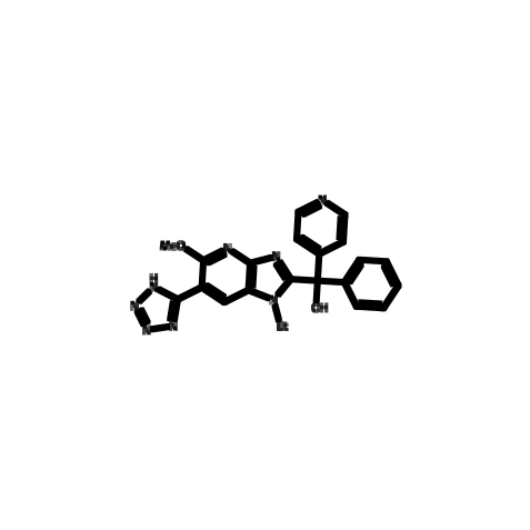 CCn1c(C(O)(c2ccccc2)c2ccncc2)nc2nc(OC)c(-c3nnn[nH]3)cc21